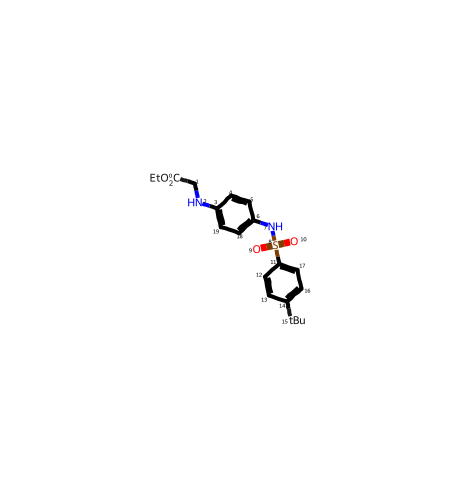 CCOC(=O)CNc1ccc(NS(=O)(=O)c2ccc(C(C)(C)C)cc2)cc1